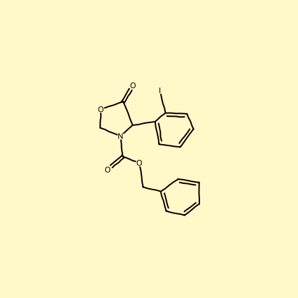 O=C1OCN(C(=O)OCc2ccccc2)C1c1ccccc1I